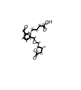 O=Cc1ccc(COC[C@H]2CCC(=O)O2)n1CCCC(=O)O